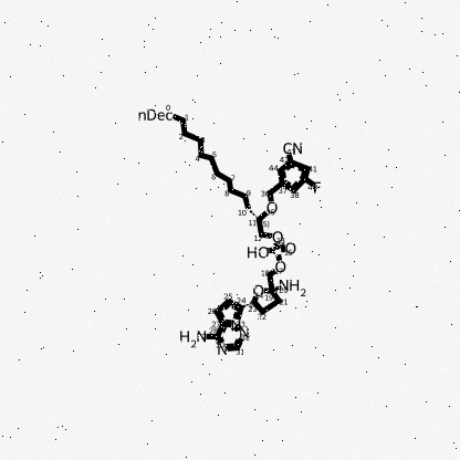 CCCCCCCCCCCCCCCCCCCC[C@@H](COP(=O)(O)OC[C@]1(N)CC[C@H](c2ccc3c(N)ncnn23)O1)OCc1cc(F)cc(C#N)c1